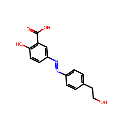 O=C(O)c1cc(N=Nc2ccc(CCO)cc2)ccc1O